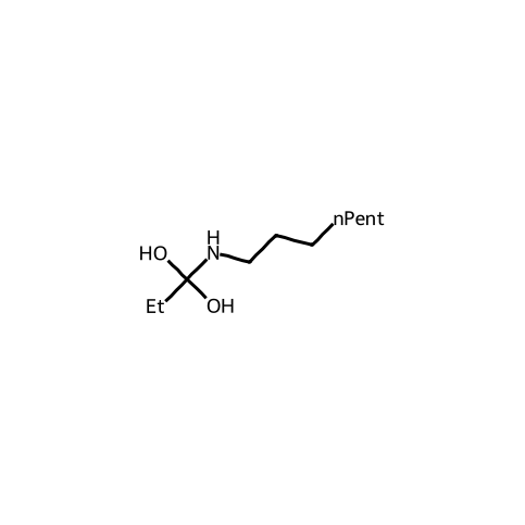 CCCCCCCCNC(O)(O)CC